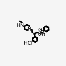 CCNC1CCN(CC[C@@H](CN(C)S(=O)(=O)c2ccccc2)c2ccccc2)CC1.Cl